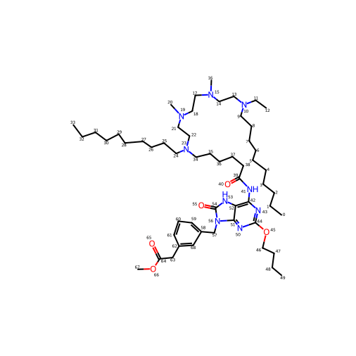 CCCCCCCCCCN(CC)CCN(C)CCN(C)CCN(CCCCCCCCCC)CCCCCC(=O)Nc1nc(OCCCC)nc2c1[nH]c(=O)n2Cc1cccc(CC(=O)OC)c1